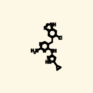 Nc1ncc(Cc2cc3nc[nH]c3cc2Cl)c(Nc2cc(C3CC3)[nH]n2)n1